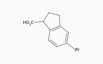 CC(C)c1ccc2c(c1)CCC2C(=O)O